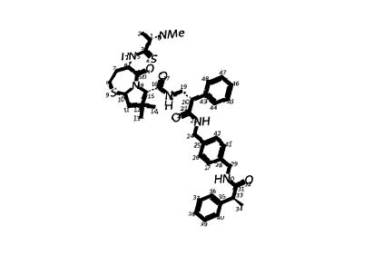 CN[C@@H](C)C(=S)N[C@H]1CCSC2CC(C)(C)[C@@H](C(=O)NC[C@@H](C(=O)NCc3ccc(CNC(=O)[C@@H](C)c4ccccc4)cc3)c3ccccc3)N2C1=O